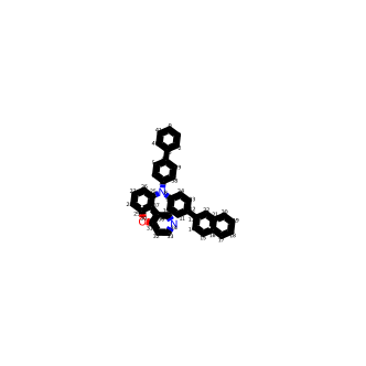 c1ccc(-c2ccc(N(c3ccc(-c4ccc5ccccc5c4)cc3)c3cccc4oc5ccncc5c34)cc2)cc1